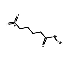 O=C(CCCC[SH](=O)=O)NO